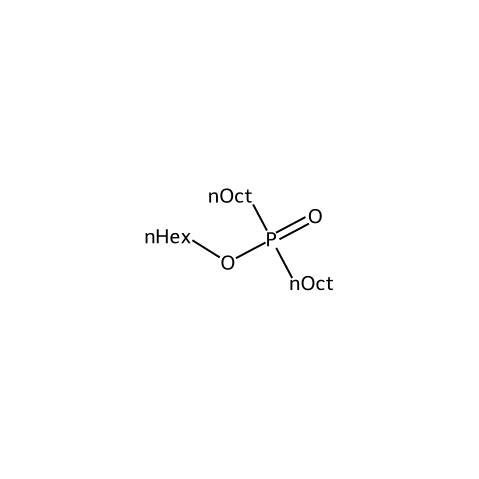 CCCCCCCCP(=O)(CCCCCCCC)OCCCCCC